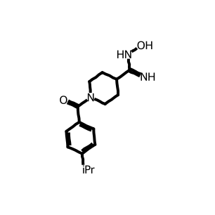 CC(C)c1ccc(C(=O)N2CCC(C(=N)NO)CC2)cc1